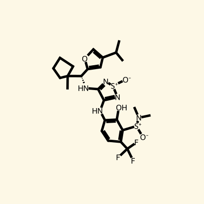 CC(C)c1coc([C@H](Nc2n[s+]([O-])nc2Nc2ccc(C(F)(F)F)c([S+]([O-])N(C)C)c2O)C2(C)CCCC2)c1